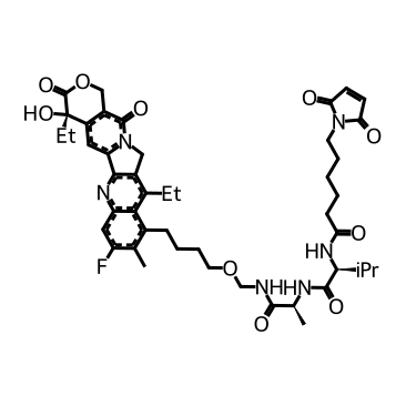 CCc1c2c(nc3cc(F)c(C)c(CCCCOCNC(=O)[C@H](C)NC(=O)[C@@H](NC(=O)CCCCCN4C(=O)C=CC4=O)C(C)C)c13)-c1cc3c(c(=O)n1C2)COC(=O)[C@]3(O)CC